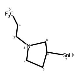 FC(F)(F)CCN1CC[CH]([SnH])C1